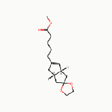 COC(=O)CCCCC1=C[C@@H]2CC3(C[C@@H]2C1)OCCO3